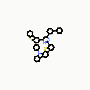 c1ccc(-c2cccc(-c3cc(-c4ccc5sc6ccccc6c5c4)nc(-c4cccc5c4sc4c5ccc5c6ccccc6n(-c6ccccc6)c54)n3)c2)cc1